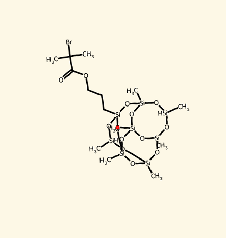 C[SiH]1O[Si]2(C)O[Si]3(C)O[SiH](C)O[Si]4(CCCOC(=O)C(C)(C)Br)O[Si](C)(O1)O[Si](C)(O2)O[Si](C)(O3)O4